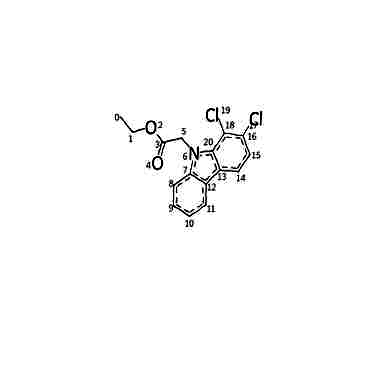 CCOC(=O)Cn1c2ccccc2c2ccc(Cl)c(Cl)c21